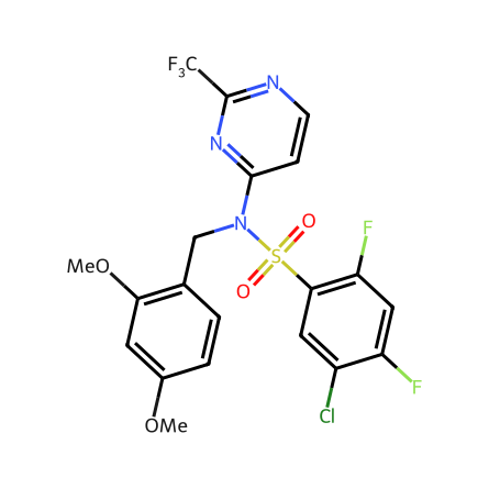 COc1ccc(CN(c2ccnc(C(F)(F)F)n2)S(=O)(=O)c2cc(Cl)c(F)cc2F)c(OC)c1